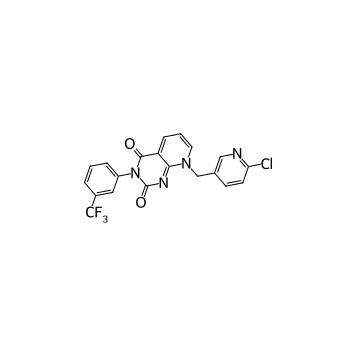 O=c1nc2n(Cc3ccc(Cl)nc3)cccc-2c(=O)n1-c1cccc(C(F)(F)F)c1